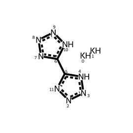 [KH].[KH].n1n[nH]c(-c2nnn[nH]2)n1